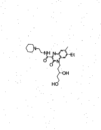 CCc1cc2c(cc1C)nc(C(=O)NCCN1CCCCC1)c(=O)n2CCC(O)CCO